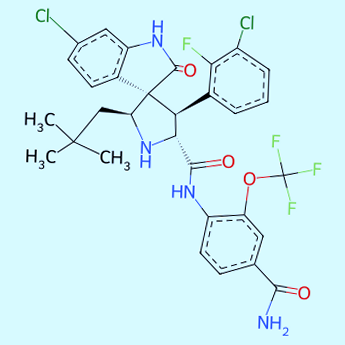 CC(C)(C)C[C@@H]1N[C@@H](C(=O)Nc2ccc(C(N)=O)cc2OC(F)(F)F)[C@H](c2cccc(Cl)c2F)[C@]12C(=O)Nc1cc(Cl)ccc12